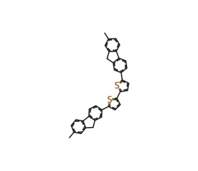 Cc1ccc2c(c1)Cc1cc(-c3ccc(-c4ccc(-c5ccc6c(c5)Cc5cc(C)ccc5-6)s4)s3)ccc1-2